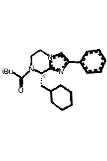 CCC(C)C(=O)N1CCn2cc(-c3ccccc3)nc2[C@@H]1CC1CCCCC1